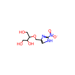 O=[N+]([O-])c1nc(COC(CO)C(O)CO)c[nH]1